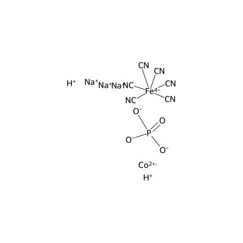 N#[C][Fe-4]([C]#N)([C]#N)([C]#N)([C]#N)[C]#N.O=P([O-])([O-])[O-].[Co+2].[H+].[H+].[Na+].[Na+].[Na+]